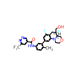 Cc1ccc(NC(=O)c2cnnc(C(F)(F)F)c2)cc1-c1cc(F)c2c(c1)N1CCOC[C@H]1[C@@](F)(CO)C2